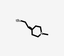 CN1CCC(=CCC(C)(C)C)CC1